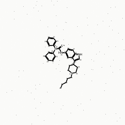 CCCCCN1CCC(c2c[nH]c3ccc(NC(=S)N(c4ccccc4)c4ccccc4)cc23)CC1